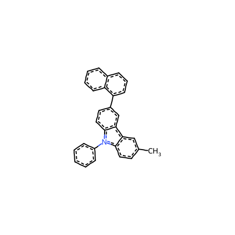 Cc1ccc2c(c1)c1cc(-c3cccc4ccccc34)ccc1n2-c1ccccc1